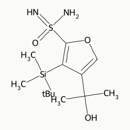 CC(C)(O)c1coc(S(=N)(N)=O)c1[Si](C)(C)C(C)(C)C